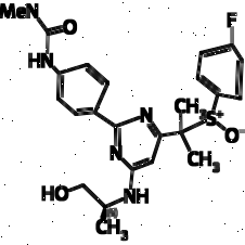 CNC(=O)Nc1ccc(-c2nc(N[C@@H](C)CO)cc(C(C)(C)[S+]([O-])c3ccc(F)cc3)n2)cc1